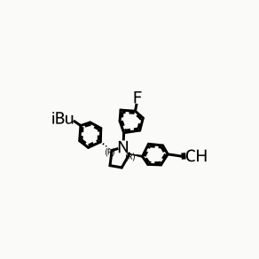 C#Cc1ccc([C@H]2CC[C@H](c3ccc(C(C)CC)cc3)N2c2ccc(F)cc2)cc1